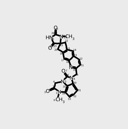 CN1C(=O)Cn2c(=O)n(Cc3ccc4cc5c(cc4n3)CC3(C5)C(=O)NC(=O)N3C)c3cccc1c32